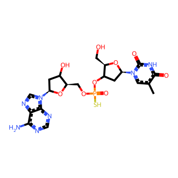 Cc1cn([C@H]2CC(OP(=O)(S)OC[C@H]3O[C@@H](n4cnc5c(N)ncnc54)CC3O)[C@@H](CO)O2)c(=O)[nH]c1=O